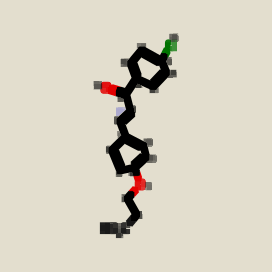 O=C(O)CCOc1ccc(/C=C/C(=O)c2ccc(Cl)cc2)cc1